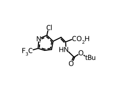 CC(C)(C)OC(=O)NC(=Cc1ccc(C(F)(F)F)nc1Cl)C(=O)O